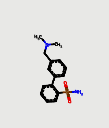 CN(C)Cc1cccc(-c2ccccc2S(N)(=O)=O)c1